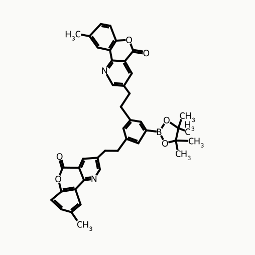 Cc1ccc2oc(=O)c3cc(CCc4cc(CCc5cnc6c(c5)c(=O)oc5ccc(C)cc56)cc(B5OC(C)(C)C(C)(C)O5)c4)cnc3c2c1